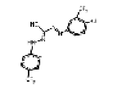 N#CC(N=Nc1ccc(Cl)c(C(F)(F)F)c1)=NNc1ccc(C(F)(F)F)cc1